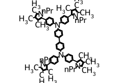 CCCn1c(C)c(C)c(C)c1-c1ccc(N(c2ccc(-c3ccc(N(c4ccc(-c5c(C)c(C)c(C)n5CCC)cc4)c4ccc(-c5c(C)c(C)c(C)n5CCC)cc4)cc3)cc2)c2ccc(-c3c(C)c(C)c(C)n3CCC)cc2)cc1